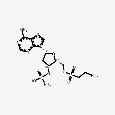 NCCS(=O)(=O)OC[C@H]1O[C@@H](n2cnc3c(N)ncnc32)C[C@@H]1OP(N)(=O)O